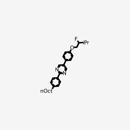 CCCCCCCCc1ccc(-c2ncc(-c3ccc(OCC(F)C(C)C)cc3)cn2)cc1